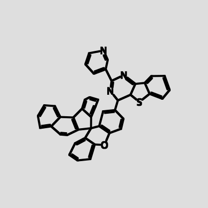 c1cncc(C2=NC(c3ccc4c(c3)C3(c5ccccc5O4)c4ccccc4-c4c3ccc3ccccc43)C3Sc4ccccc4C3=N2)c1